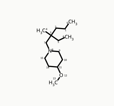 CCCC(C)(CC)CN1CCC(OC)CC1